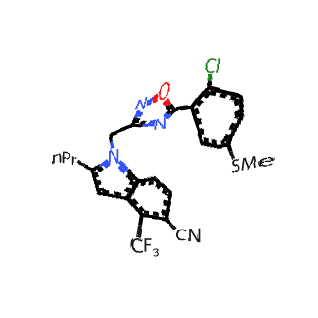 CCCc1cc2c(C(F)(F)F)c(C#N)ccc2n1Cc1noc(-c2cc(SC)ccc2Cl)n1